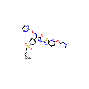 COCCCS(=O)(=O)c1ccc(/C(=N\OCc2ncccn2)C(=O)Nc2nc3ccc(OCCN(C)C)nc3s2)cc1